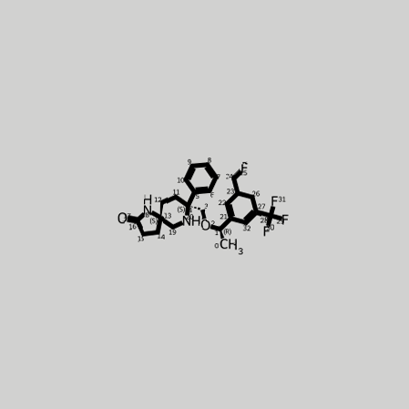 C[C@@H](OC[C@@]1(c2ccccc2)CC[C@]2(CCC(=O)N2)CN1)C1=CC(CF)CC(C(F)(F)F)=C1